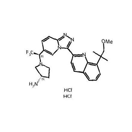 COCC(C)(C)c1cccc2ccc(-c3nnc4ccc([C@@H](N5CC[C@H](N)C5)C(F)(F)F)cn34)nc12.Cl.Cl